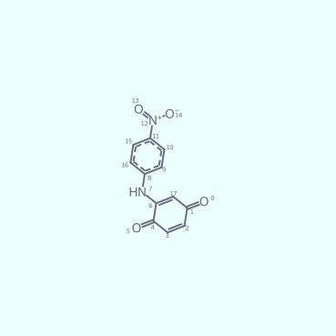 O=C1C=CC(=O)C(Nc2ccc([N+](=O)[O-])cc2)=C1